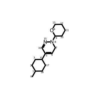 CC1CCC(C2=CCN(C3CCCCO3)N=C2)CC1